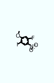 COc1cc(F)c([N+](=O)[O-])cc1I